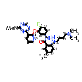 CNc1ncnc(-c2cccnc2Oc2cc(NC(=O)c3cc(C(F)(F)F)ccc3NCCCCN(C)C)ccc2F)n1